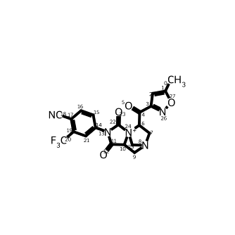 Cc1cc(C(=O)C2CN3CC4C(=O)N(c5ccc(C#N)c(C(F)(F)F)c5)C(=O)[N+]24C3)no1